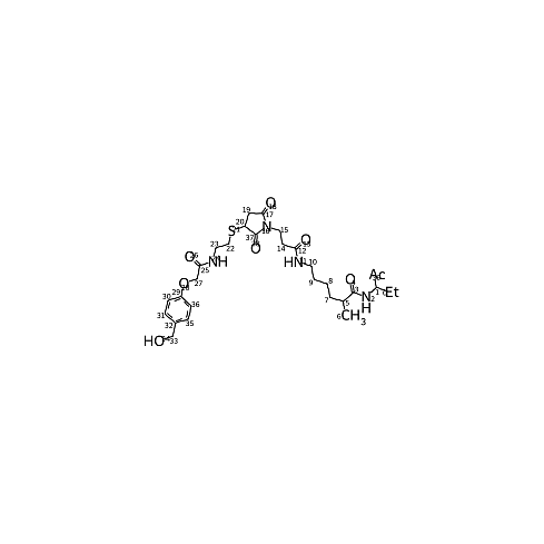 CCC(NC(=O)C(C)CCCCNC(=O)CCN1C(=O)CC(SCCNC(=O)COc2ccc(CO)cc2)C1=O)C(C)=O